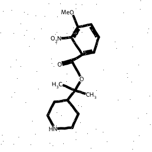 COc1cccc(C(=O)OC(C)(C)C2CCNCC2)c1[N+](=O)[O-]